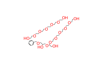 OCCOCCOCCOCCOCCOC(CO)OCC(O)COCc1ccccc1.OCCOCCOCCOCCOCCOCCO